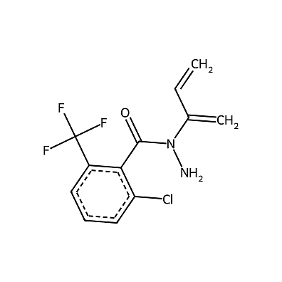 C=CC(=C)N(N)C(=O)c1c(Cl)cccc1C(F)(F)F